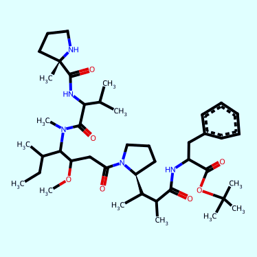 CCC(C)C(C(CC(=O)N1CCC[C@H]1C(C)C(C)C(=O)NC(Cc1ccccc1)C(=O)OC(C)(C)C)OC)N(C)C(=O)C(NC(=O)[C@]1(C)CCCN1)C(C)C